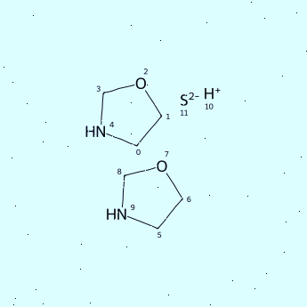 C1COCN1.C1COCN1.[H+].[S-2]